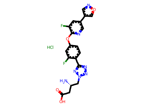 Cl.N[C@@H](CC(=O)O)Cn1nnc(-c2ccc(Oc3ncc(-c4cnoc4)cc3F)cc2F)n1